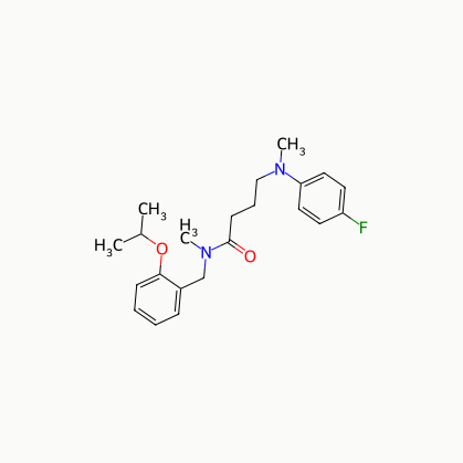 CC(C)Oc1ccccc1CN(C)C(=O)CCCN(C)c1ccc(F)cc1